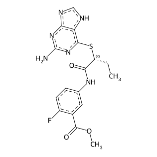 CC[C@@H](Sc1nc(N)nc2nc[nH]c12)C(=O)Nc1ccc(F)c(C(=O)OC)c1